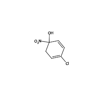 O=[N+]([O-])C1(O)C=CC(Cl)=CC1